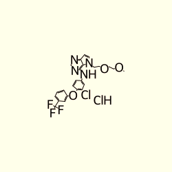 COCCOCCn1ccc2ncnc(Nc3ccc(Oc4cccc(C(F)(F)F)c4)c(Cl)c3)c21.Cl